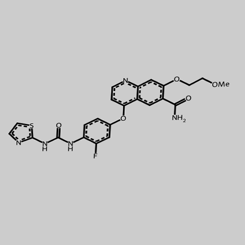 COCCOc1cc2nccc(Oc3ccc(NC(=O)Nc4nccs4)c(F)c3)c2cc1C(N)=O